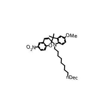 CCCCCCCCCCCCCCCCCCN1c2ccc(OC)cc2C(C)(C)C12C=Cc1cc([N+](=O)[O-])ccc1O2